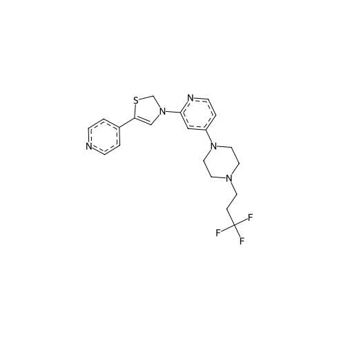 FC(F)(F)CCN1CCN(c2ccnc(N3C=C(c4ccncc4)SC3)c2)CC1